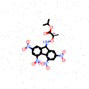 CC(C)OC(=O)[C@@H](C)ONC1c2cc([N+](=O)[O-])cc([N+](=O)[O-])c2-c2c1cc([N+](=O)[O-])cc2[N+](=O)[O-]